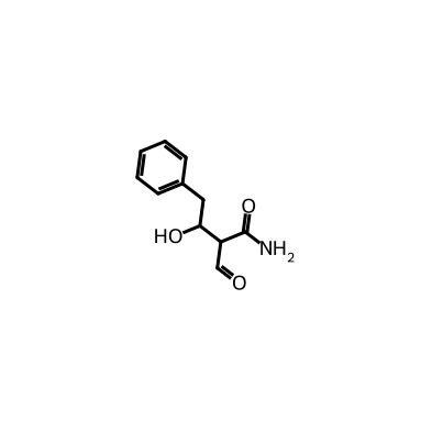 NC(=O)C(C=O)C(O)Cc1ccccc1